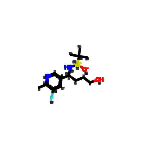 Cc1ncc([C@H](CCCO)N[S@+]([O-])C(C)(C)C)cc1F